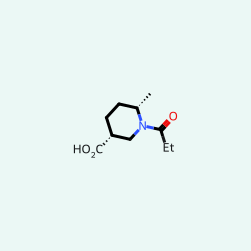 CCC(=O)N1C[C@H](C(=O)O)CC[C@@H]1C